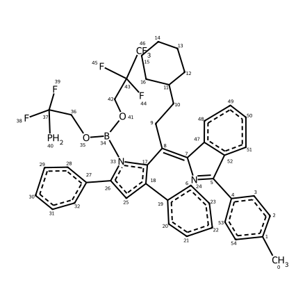 Cc1ccc(C2=N/C(=C(/CCC3CCCCC3)c3c(-c4ccccc4)cc(-c4ccccc4)n3B(OCC(F)(F)P)OCC(F)(F)C(F)(F)F)c3ccccc32)cc1